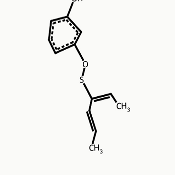 CC=CC(=CC)SOc1cccc(O)c1